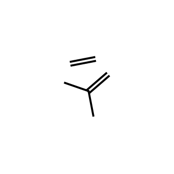 C=C.C=C(C)C